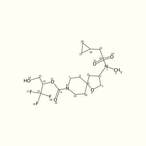 CN(C1COC2(CCN(C(=O)OC(CO)C(F)(F)F)CC2)C1)S(=O)(=O)CC1CC1